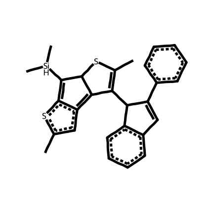 CC1=C(C2C(c3ccccc3)=Cc3ccccc32)C2=c3cc(C)sc3=C([SiH](C)C)C2S1